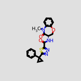 CN1C(=O)[C@@H](NC(=O)c2nnc(C3(c4ccccc4)CC3)s2)COc2ccccc21